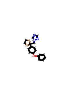 c1ccc(Oc2ccc(C3(Cn4cncn4)SCCS3)cc2)cc1